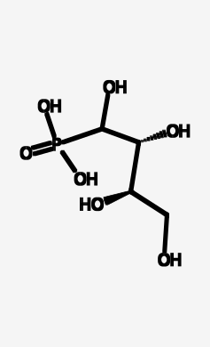 O=P(O)(O)C(O)[C@H](O)[C@H](O)CO